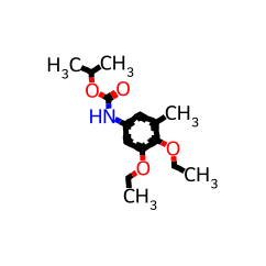 CCOc1cc(NC(=O)OC(C)C)cc(C)c1OCC